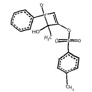 Cc1ccc(S(=O)(=O)OC2=C[N+]([O-])(c3ccccc3)C2(C)O)cc1